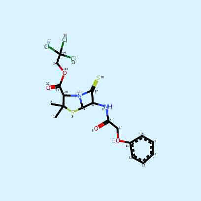 CC1(C)SC2C(NC(=O)COc3ccccc3)C(=S)N2C1C(=O)OCC(Cl)(Cl)Cl